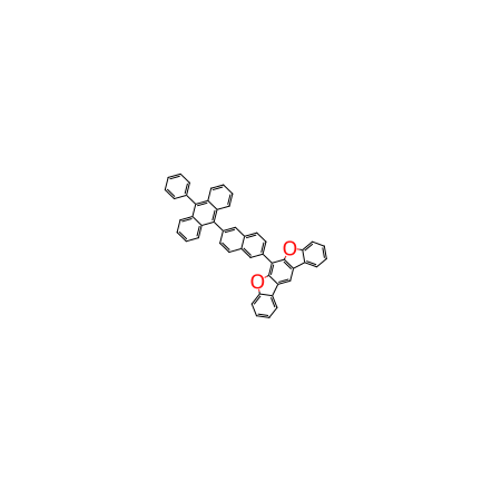 c1ccc(-c2c3ccccc3c(-c3ccc4cc(-c5c6oc7ccccc7c6cc6c5oc5ccccc56)ccc4c3)c3ccccc23)cc1